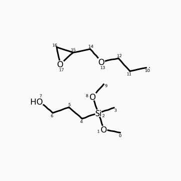 CO[Si](C)(CCCO)OC.[CH2]CCOCC1CO1